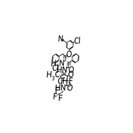 CC(C)[C@H](NC(=O)[C@@H](c1ccccc1)C(N)[C@@H](Cc1cccc(Cl)c1)Oc1cc(Cl)cc(C#N)c1)C(=O)C(F)(F)C(=O)NCC(F)(F)F